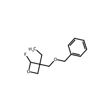 CCC1(COCc2ccccc2)COC1F